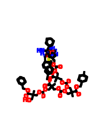 Cc1ccc(COC(=O)C(C)(COC(=O)OCC(C)(COC(=O)OCC(C)(CO)C(=O)OCc2ccccc2)C(=O)OCc2ccc(CSC(=N)N)cc2)COC(=O)OCC(C)(COC(=O)OCC(C)(CO)C(=O)OCc2ccccc2)C(=O)OCc2ccc(CSC(=N)N)cc2)cc1